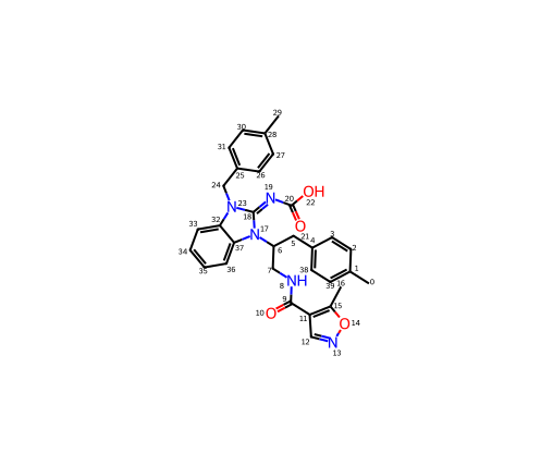 Cc1ccc(CC(CNC(=O)c2cnoc2C)n2c(=NC(=O)O)n(Cc3ccc(C)cc3)c3ccccc32)cc1